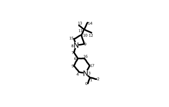 CC(C)N1CCC(CN2CC(C(C)(C)C)C2)CC1